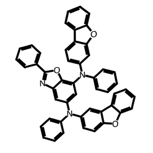 c1ccc(-c2nc3cc(N(c4ccccc4)c4ccc5oc6ccccc6c5c4)cc(N(c4ccccc4)c4ccc5c(c4)oc4ccccc45)c3o2)cc1